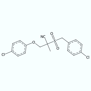 CC(C#N)(COc1ccc(Cl)cc1)S(=O)(=O)Cc1ccc(Cl)cc1